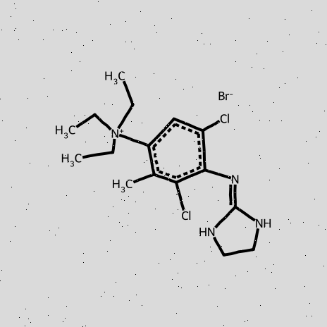 CC[N+](CC)(CC)c1cc(Cl)c(N=C2NCCN2)c(Cl)c1C.[Br-]